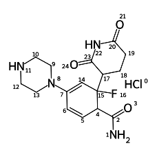 Cl.NC(=O)C1C=CC(N2CCNCC2)=CC1(F)C1CCC(=O)NC1=O